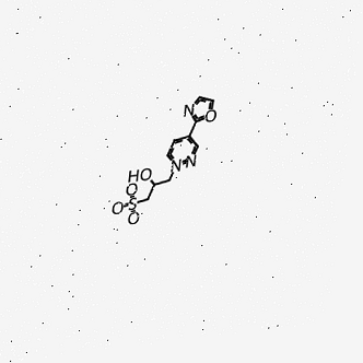 O=S(=O)([O-])CC(O)C[n+]1ccc(-c2ncco2)cn1